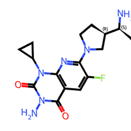 C[C@H](N)[C@@H]1CCN(c2nc3c(cc2F)c(=O)n(N)c(=O)n3C2CC2)C1